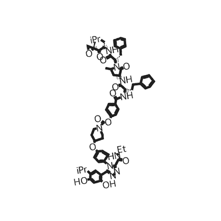 CCNC(=O)c1nnc(-c2cc(C(C)C)c(O)cc2O)n1-c1ccc(OC2CCN(C(=O)Oc3ccc(C(=O)N[C@@H](CCc4ccccc4)C(=O)N[C@H]4CC(C)N([C@@H](Cc5ccccc5)C(=O)N[C@@H](CC(C)C)C(=O)[C@@]5(C)CO5)C4=O)cc3)CC2)cc1